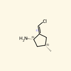 C[C@H]1C/C(=C\Cl)[C@@H](N)C1